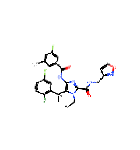 CC(=O)Cn1c(C(=O)NCc2ccon2)nc(NC(=O)c2cc(F)cc(C(F)(F)F)c2)c1[C@@H](C)c1cc(F)ccc1Cl